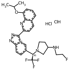 CC(C)Oc1cccc2ccc(-c3nnc4ccc([C@@H](N5CCC(NCCF)C5)C(F)(F)F)cn34)nc12.Cl.Cl